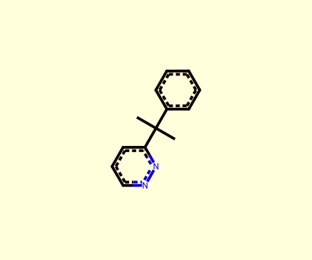 CC(C)(c1ccccc1)c1cccnn1